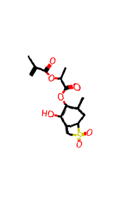 C=C(C)C(=O)OC(C)C(=O)OC1C(C)CC2C(CS2(=O)=O)C1O